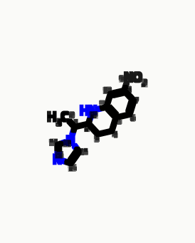 CC(C1CCc2ccc([N+](=O)[O-])cc2N1)n1ccnc1